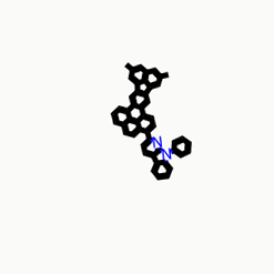 Cc1cc2c3c(cc(C)cc3c1)-c1cc3c(cc1-2)c1cccc2ccc4c(-c5ccc6c7ccccc7n(-c7ccccc7)c6n5)ccc3c4c21